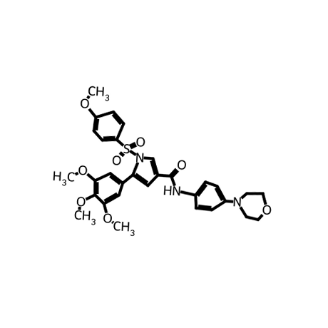 COc1ccc(S(=O)(=O)n2cc(C(=O)Nc3ccc(N4CCOCC4)cc3)cc2-c2cc(OC)c(OC)c(OC)c2)cc1